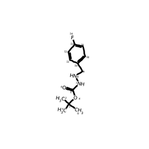 CC(C)(C)OC(=O)NNCc1ccc(F)cc1